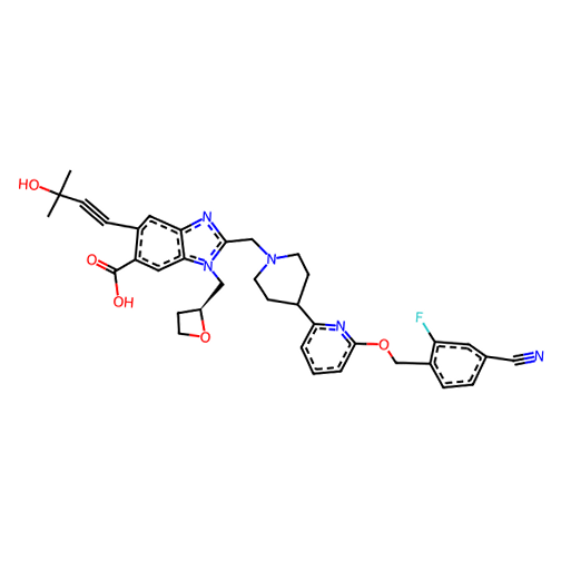 CC(C)(O)C#Cc1cc2nc(CN3CCC(c4cccc(OCc5ccc(C#N)cc5F)n4)CC3)n(C[C@@H]3CCO3)c2cc1C(=O)O